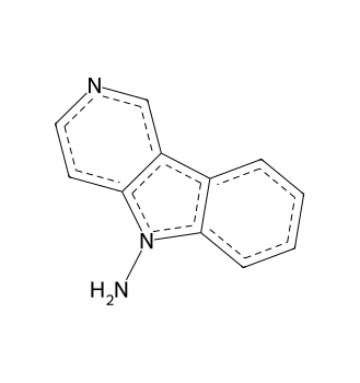 Nn1c2ccccc2c2cnccc21